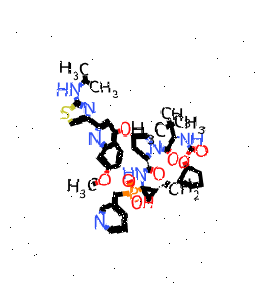 C=C[C@@H]1C[C@]1(NC(=O)[C@@H]1C[C@@H](Oc2cc(-c3csc(NC(C)C)n3)nc3cc(OC)ccc23)CN1C(=O)[C@@H](NC(=O)OC1CCCC1)C(C)(C)C)P(=O)(O)Cc1cccnc1